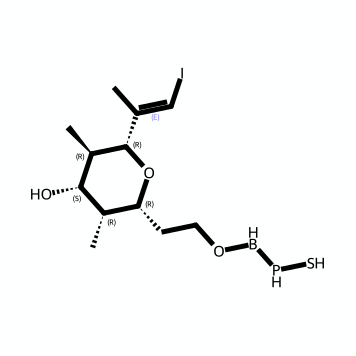 C/C(=C\I)[C@@H]1O[C@H](CCOBPS)[C@H](C)[C@H](O)[C@H]1C